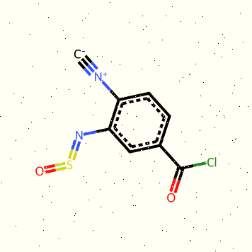 [C-]#[N+]c1ccc(C(=O)Cl)cc1N=S=O